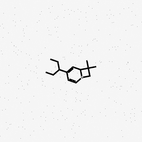 CCC(CC)C1=CC2N(C=C1)CC2(C)C